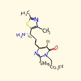 CCOC(=O)Cn1c(SC)nc(CC[C@H](N)c2sc(C)nc2C)c(Br)c1=O